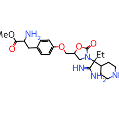 CCC(C(=N)N)(C1CCNCC1)N1CC(COc2ccc(CC(N)C(=O)OC)cc2)OC1=O